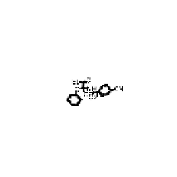 CCC(=O)C(NC(=O)c1ccc(C#N)cc1)(Oc1ccccc1)C(=O)O